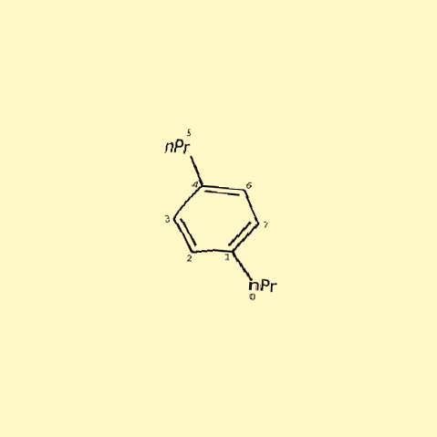 [CH2]CCc1ccc(CCC)cc1